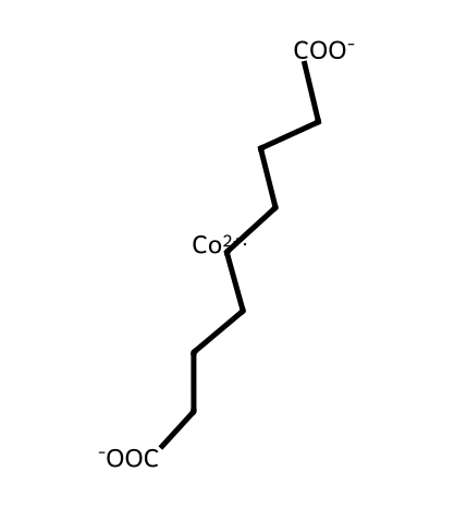 O=C([O-])CCCCCCCC(=O)[O-].[Co+2]